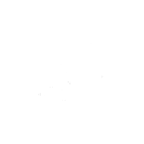 Cc1cc(Br)cc(C2(NC(=O)OC(C)(C)C)CC2)c1